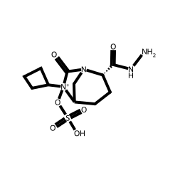 NNC(=O)[C@@H]1CCC2CN1C(=O)[N+]2(OS(=O)(=O)O)C1CCC1